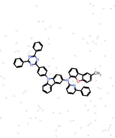 Cc1ccc2oc3c(N(c4ccc5c(c4)c4ccccc4n5-c4ccc(-c5nc(-c6ccccc6)nc(-c6ccccc6)n5)cc4)c4cccc(-c5ccccc5)n4)cccc3c2c1